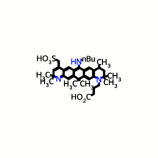 CCCCNC1=c2cc3c(cc2C(C)(C)c2cc4c(cc21)C(C)CC(C)(C)N4CCCC(=O)O)=NC(C)(C)C=C3CS(=O)(=O)O